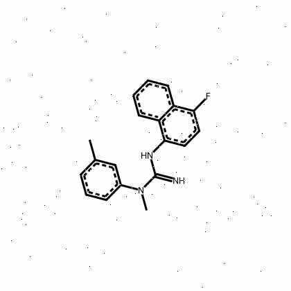 Cc1cccc(N(C)C(=N)Nc2ccc(F)c3ccccc23)c1